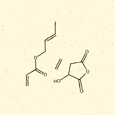 C=C.C=CC(=O)OCC=CC.O=C1CC(O)C(=O)O1